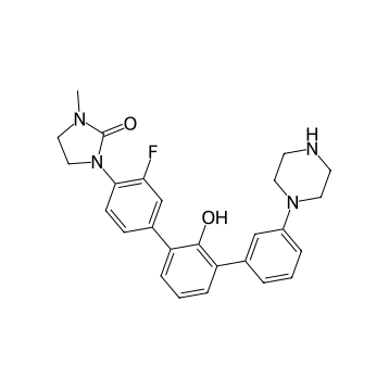 CN1CCN(c2ccc(-c3cccc(-c4cccc(N5CCNCC5)c4)c3O)cc2F)C1=O